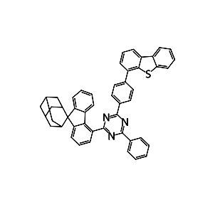 c1ccc(-c2nc(-c3ccc(-c4cccc5c4sc4ccccc45)cc3)nc(-c3cccc4c3-c3ccccc3C43C4CC5CC(C4)CC3C5)n2)cc1